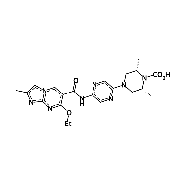 CCOc1nc2nc(C)cn2cc1C(=O)Nc1cnc(N2C[C@@H](C)N(C(=O)O)[C@@H](C)C2)cn1